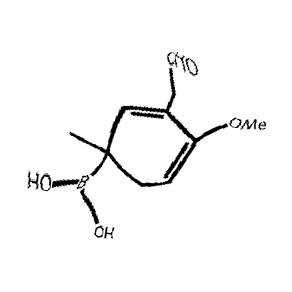 COC1=CCC(C)(B(O)O)C=C1C=O